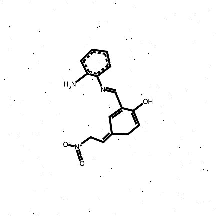 Nc1ccccc1N=CC1=CC(=CC[N+](=O)[O-])CC=C1O